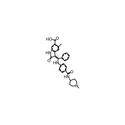 Cc1cc2c(cc1C(=O)O)NC(=O)/C2=C(\Nc1ccc(C(=O)NC2CCN(C)CC2)cc1)c1ccccc1